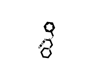 [N-]=[N+]=N[C@H](Cc1ccccc1)CN1CCCCC1